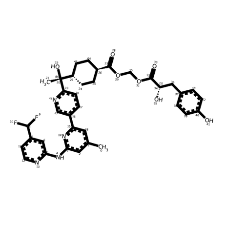 Cc1cc(Nc2cc(C(F)F)ccn2)nc(-c2ccc([C@](C)(O)[C@H]3CC[C@H](C(=O)OCOC(=O)[C@@H](O)Cc4ccc(O)cc4)CC3)nc2)c1